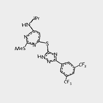 CSc1nc(NC(C)C)cc(Sc2nc(-c3cc(C(F)(F)F)cc(C(F)(F)F)c3)n[nH]2)n1